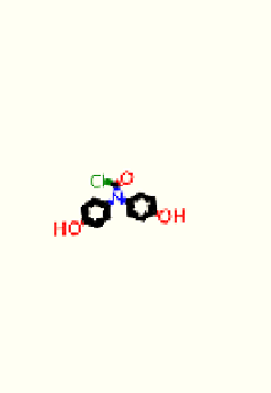 O=C(Cl)N(c1ccc(O)cc1)c1ccc(O)cc1